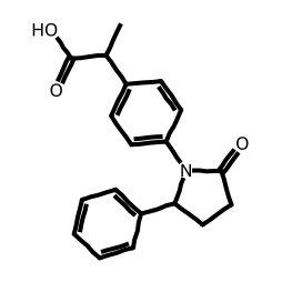 CC(C(=O)O)c1ccc(N2C(=O)CCC2c2ccccc2)cc1